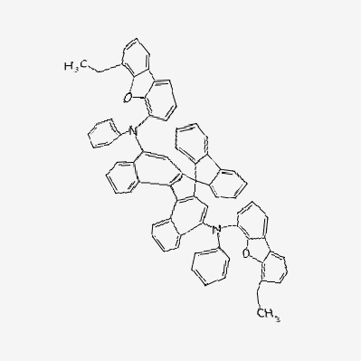 CCc1cccc2c1oc1c(N(c3ccccc3)c3cc4c(c5ccccc35)-c3c(cc(N(c5ccccc5)c5cccc6c5oc5c(CC)cccc56)c5ccccc35)C43c4ccccc4-c4ccccc43)cccc12